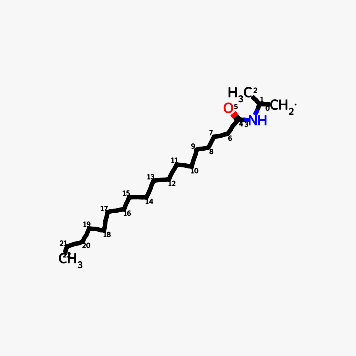 [CH2]C(C)NC(=O)CCCCCCCCCCCCCCCCC